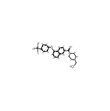 CCN1CCN(C(=O)c2ccc3c(Oc4ccc(C(F)(F)F)cc4)cccc3c2)CC1